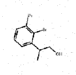 C[C](CO)c1cccc(C(C)C)c1Br